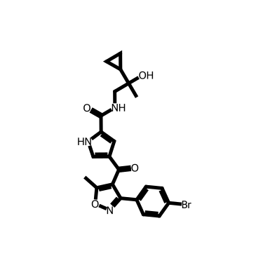 Cc1onc(-c2ccc(Br)cc2)c1C(=O)c1c[nH]c(C(=O)NCC(C)(O)C2CC2)c1